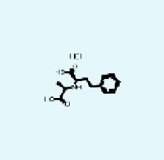 CC(NC(CCc1ccccc1)C(=O)O)C(=O)O.Cl